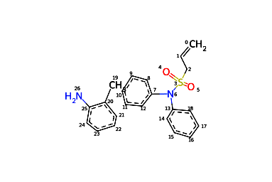 C=CCS(=O)(=O)N(c1ccccc1)c1ccccc1.Cc1ccccc1N